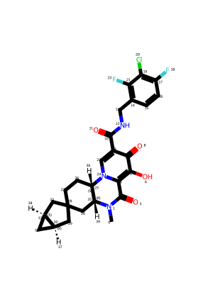 CN1C(=O)c2c(O)c(=O)c(C(=O)NCc3ccc(F)c(Cl)c3F)cn2[C@H]2CCC3(C[C@H]4C[C@H]4C3)C[C@H]21